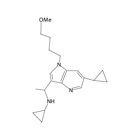 COCCCCn1cc(C(C)NC2CC2)c2ncc(C3CC3)cc21